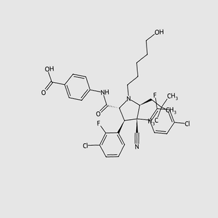 CC(C)(C)C[C@@H]1N(CCCCCO)[C@@H](C(=O)Nc2ccc(C(=O)O)cc2)[C@H](c2cccc(Cl)c2F)[C@@]1(C#N)c1ccc(Cl)cc1F